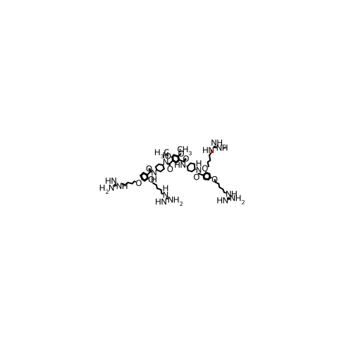 COc1cc(OC)c(C(=O)N[C@H]2CC[C@@H](NC(=O)c3ccc(OCCCCCNC(=N)N)cc3OCCCCCNC(=N)N)CC2)cc1C(=O)N[C@H]1CC[C@@H](NC(=O)c2ccc(OCCCCCNC(=N)N)cc2OCCCCCNC(=N)N)CC1